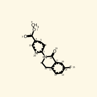 COC(=O)c1ccc(N2CCc3ccc(F)cc3C2=O)nc1